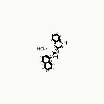 C(=NC1CNc2ccccc2S1)Nc1cccc2ccccc12.Cl